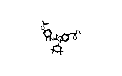 COC(=O)Cc1ccc2c(c1)nc(Nc1ccc(OC(C)C)cc1)n2C1CC(C)(C)CC(C)(C)C1